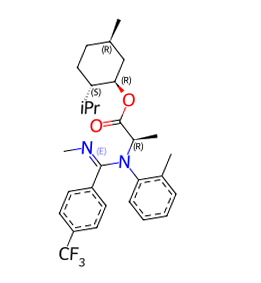 C/N=C(\c1ccc(C(F)(F)F)cc1)N(c1ccccc1C)[C@H](C)C(=O)O[C@@H]1C[C@H](C)CC[C@H]1C(C)C